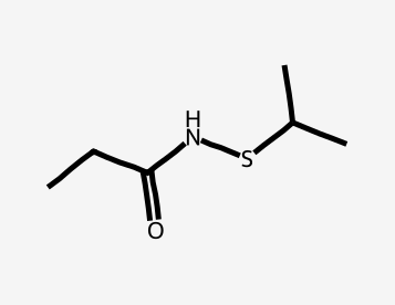 CCC(=O)NSC(C)C